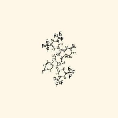 Fc1ccc2c(c1)C(c1cc(C(F)(F)F)cc(C(F)(F)F)c1)=c1cc3c(cc1-2)=C(c1cc(C(F)(F)F)cc(C(F)(F)F)c1)c1cc(F)ccc1-3